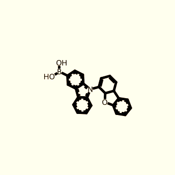 OB(O)c1ccc2c(c1)c1ccccc1n2C1=CC=CC2c3ccccc3OC12